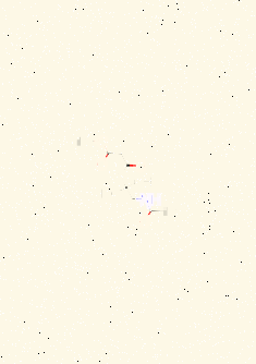 CC(C)OC(=O)CC(=O)SC(C)(C)CNC(=O)C(C)C